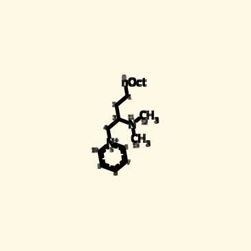 CCCCCCCCCCC(C[n+]1ccccc1)N(C)C